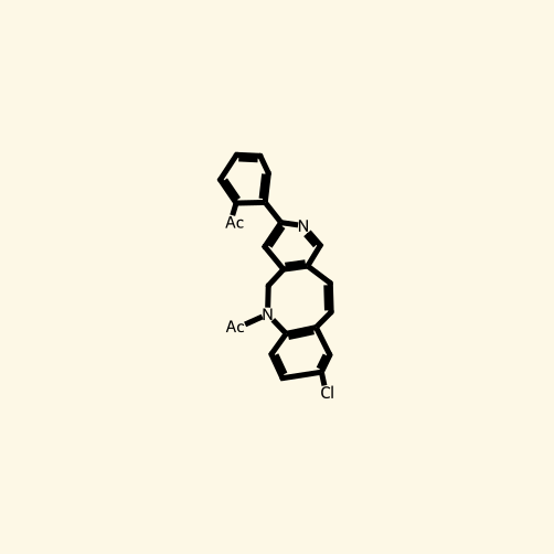 CC(=O)c1ccccc1-c1cc2c(cn1)C=Cc1cc(Cl)ccc1N(C(C)=O)C2